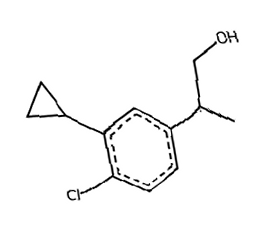 C[C](CO)c1ccc(Cl)c(C2CC2)c1